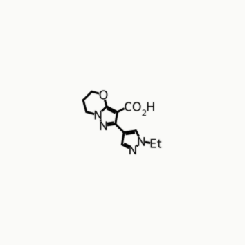 CCn1cc(-c2nn3c(c2C(=O)O)OCCC3)cn1